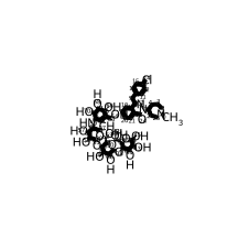 CN1CCCC(n2nc(Cc3ccc(Cl)cc3)c3ccccc3c2=O)CC1.C[C@H]1O[C@H](O[C@H]2[C@H](O)[C@@H](O)[C@@H](O[C@H]3[C@H](O)[C@@H](O)[C@H](O)O[C@@H]3CO)O[C@@H]2CO)[C@H](O)[C@@H](O)[C@@H]1N[C@H]1C=C(CO)[C@@H](O)[C@H](O)[C@H]1O